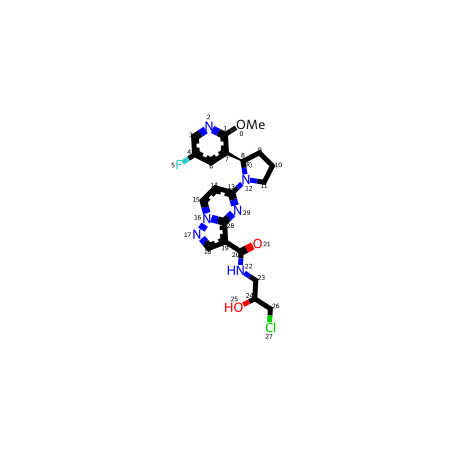 COc1ncc(F)cc1[C@H]1CCCN1c1ccn2ncc(C(=O)NCC(O)CCl)c2n1